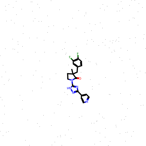 CC1(Cc2ccc(F)c(F)c2)CCN(c2nc(-c3ccncc3)n[nH]2)C1=O